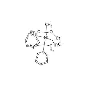 CCOC(C)(Oc1ccccc1)[N+](CC(C)C)(CC(C)C)C(C)(C)c1ccccc1.[Cl-]